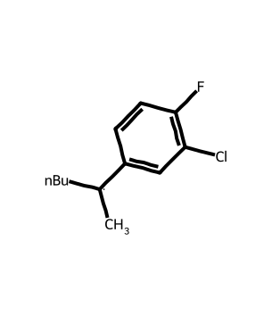 CCCC[C](C)c1ccc(F)c(Cl)c1